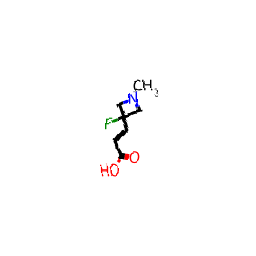 CN1CC(F)(/C=C/C(=O)O)C1